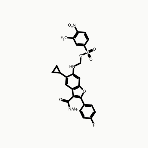 CNC(=O)c1c(-c2ccc(F)cc2)oc2cc(NCOS(=O)(=O)c3ccc([N+](=O)[O-])c(C(F)(F)F)c3)c(C3CC3)cc12